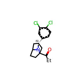 CCC(=O)C12CCC(C[C@H](c3ccc(Cl)c(Cl)c3)C1)N2C